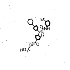 CCc1cccc(NC(=O)NC(c2ccc(C(=O)NCCC(=O)O)cc2)c2ccc(C3CCCCC3)cc2)c1